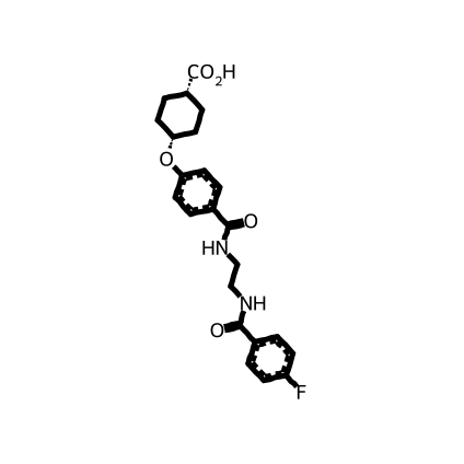 O=C(NCCNC(=O)c1ccc(O[C@H]2CC[C@@H](C(=O)O)CC2)cc1)c1ccc(F)cc1